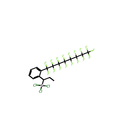 CCC(c1ccccc1C(F)(F)C(F)(F)C(F)(F)C(F)(F)C(F)(F)C(F)(F)C(F)(F)C(F)(F)F)[Si](Cl)(Cl)Cl